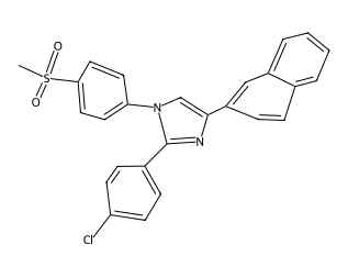 CS(=O)(=O)c1ccc(-n2cc(-c3ccc4ccccc4c3)nc2-c2ccc(Cl)cc2)cc1